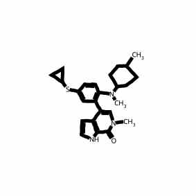 CC1CCC(N(C)c2ccc(SC3CC3)cc2-c2cn(C)c(=O)c3[nH]ccc23)CC1